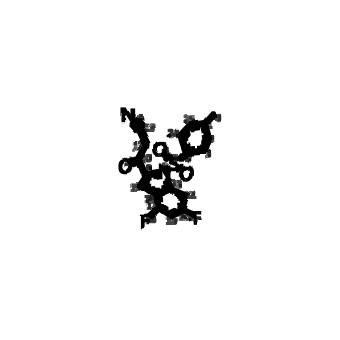 Cc1ccc(S(=O)(=O)n2c(C(=O)CC#N)cc3c(F)cc(F)cc32)cc1